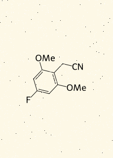 COc1cc(F)cc(OC)c1CC#N